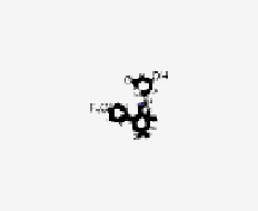 CC1(C)CC(c2ccc(C(F)(F)F)cc2)=C(/C=C/[C@@H]2C[C@@H](O)CC(=O)O2)C(C)(C)C1